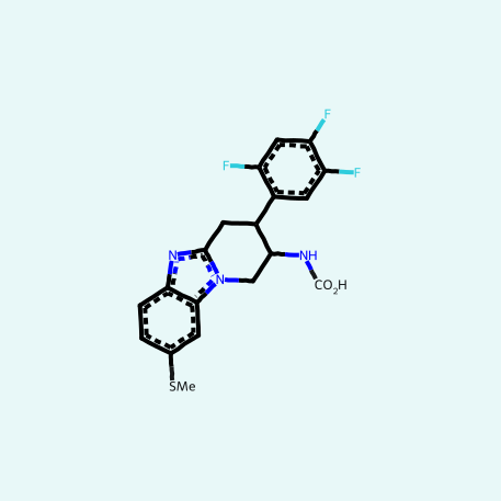 CSc1ccc2nc3n(c2c1)CC(NC(=O)O)C(c1cc(F)c(F)cc1F)C3